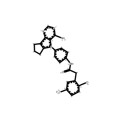 Nc1ncnc2c3c(n(-c4ccc(NC(=O)Cc5cc(C(F)(F)F)ccc5Cl)cc4)c12)CCC3